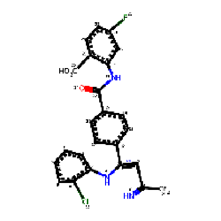 N=C(/C=C(\Nc1ccccc1Cl)c1ccc(C(=O)Nc2cc(F)ccc2C(=O)O)cc1)C(F)(F)F